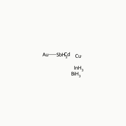 [BiH3].[Cd].[Cu].[InH3].[SbH2][Au]